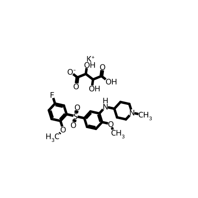 COc1ccc(S(=O)(=O)c2cc(F)ccc2OC)cc1NC1CCN(C)CC1.O=C([O-])C(O)C(O)C(=O)O.[K+]